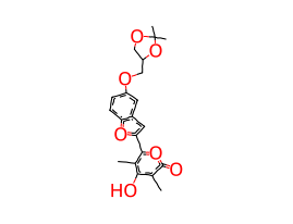 Cc1c(-c2cc3cc(OCC4COC(C)(C)O4)ccc3o2)oc(=O)c(C)c1O